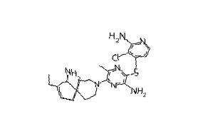 CCC1=CCC2(CCN(c3nc(N)c(Sc4ccnc(N)c4Cl)nc3C)CC2)[C@@H]1N